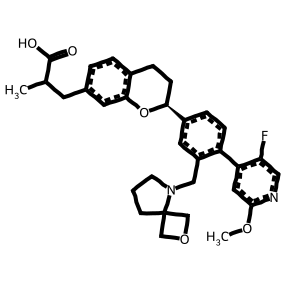 COc1cc(-c2ccc([C@@H]3CCc4ccc(CC(C)C(=O)O)cc4O3)cc2CN2CCCC23COC3)c(F)cn1